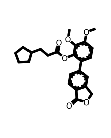 COc1ccc(-c2ccc3c(c2)COC3=O)c(OC(=O)CCC2CCCC2)c1OC